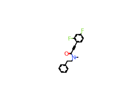 CN(CCc1ccccc1)C(=O)C#Cc1ccc(F)cc1F